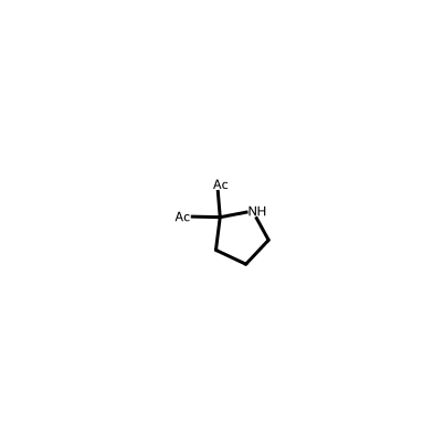 CC(=O)C1(C(C)=O)CCCN1